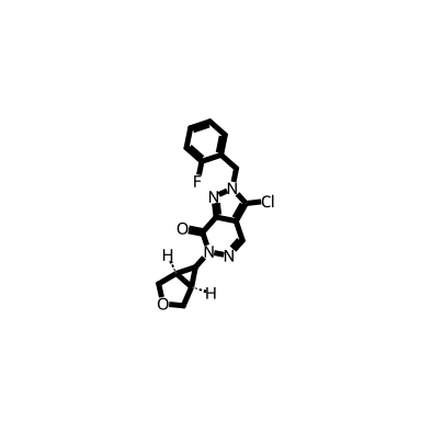 O=c1c2nn(Cc3ccccc3F)c(Cl)c2cnn1C1[C@H]2COC[C@@H]12